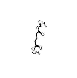 C=COC(=O)CCCC(=O)OC